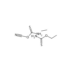 CC.CCOC(N)=S.N#COC(N)=S